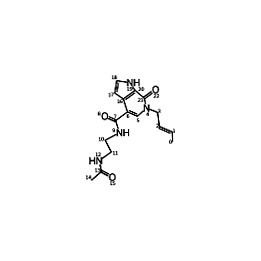 C/C=C/Cn1cc(C(=O)NCCNC(C)=O)c2cc[nH]c2c1=O